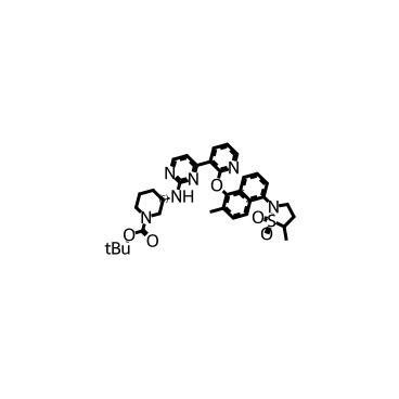 Cc1ccc2c(N3CCC(C)S3(=O)=O)cccc2c1Oc1ncccc1-c1ccnc(N[C@H]2CCCN(C(=O)OC(C)(C)C)C2)n1